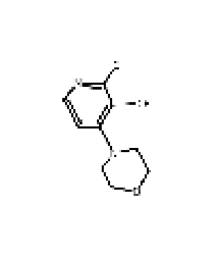 FC(F)(F)c1c(N2CCOCC2)ccnc1Cl